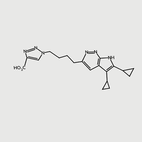 O=C(O)c1cn(CCCCc2cc3c(C4CC4)c(C4CC4)[nH]c3nn2)nn1